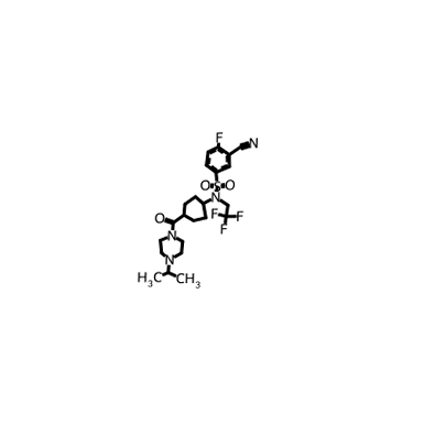 CC(C)N1CCN(C(=O)C2CCC(N(CC(F)(F)F)S(=O)(=O)c3ccc(F)c(C#N)c3)CC2)CC1